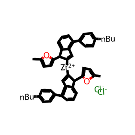 CCCCc1ccc(-c2cccc3c2C=[C]([Zr+2][C]2=Cc4c(-c5ccc(CCCC)cc5)cccc4C2c2ccc(C)o2)C3c2ccc(C)o2)cc1.[Cl-].[Cl-]